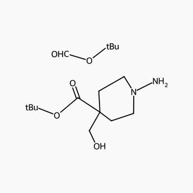 CC(C)(C)OC(=O)C1(CO)CCN(N)CC1.CC(C)(C)OC=O